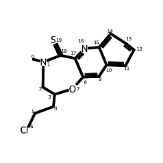 CN1CC(CCCl)Oc2cc3ccccc3nc2C1=S